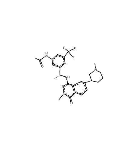 CC(=O)Nc1cc([C@@H](C)Nc2nn(C)c(=O)c3ccc(C4CCCN(C)C4)cc23)cc(C(F)(F)F)c1